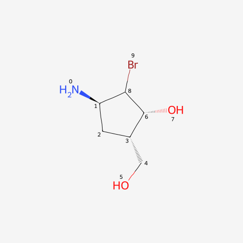 N[C@@H]1C[C@@H](CO)[C@@H](O)C1Br